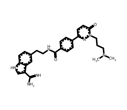 CN(C)CCCn1nc(-c2ccc(C(=O)NCCc3ccc4[nH]cc(C(=N)N)c4c3)cc2)ccc1=O